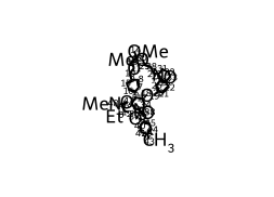 CC[C@@H](C[C@@H]1C[C@H](c2ccc(COCCOC)cc2)[C@@H](OCc2ccc3c(c2)N(CCCOC)CCO3)CN1S(=O)(=O)c1ccc(C)cc1)C(=O)NC